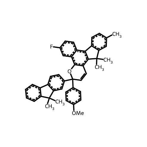 COc1ccc(C2(c3ccc4c(c3)C(C)(C)c3ccccc3-4)C=Cc3c4c(c5ccc(F)cc5c3O2)-c2ccc(C)cc2C4(C)C)cc1